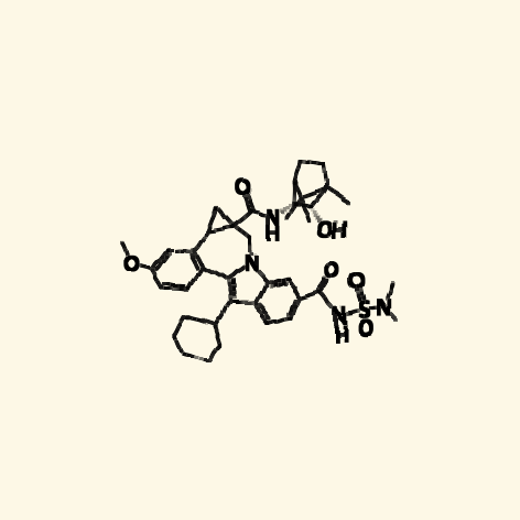 COc1ccc2c(c1)C1CC1(C(=O)N[C@@H]1C3CCC(C)([C@@H]1O)C3(C)C)Cn1c-2c(C2CCCCC2)c2ccc(C(=O)NS(=O)(=O)N(C)C)cc21